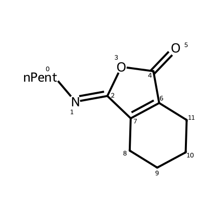 CCCCCN=C1OC(=O)C2=C1CCCC2